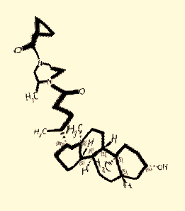 CC(CCC(=O)N1CCN(C(=O)C2CC2)CC1C)[C@H]1CC[C@H]2[C@@H]3CC[C@H]4C[C@@H](O)CC[C@]4(C)[C@H]3CC[C@]12C